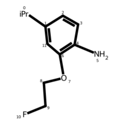 CC(C)c1ccc(N)c(OCCF)c1